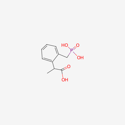 CC(C(=O)O)c1ccccc1CP(=O)(O)O